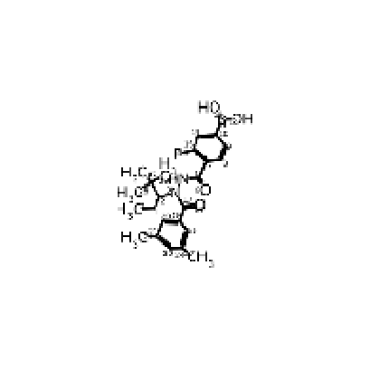 CCC(N(NC(=O)c1ccc(B(O)O)cc1F)C(=O)c1cc(C)cc(C)c1)C(C)(C)C